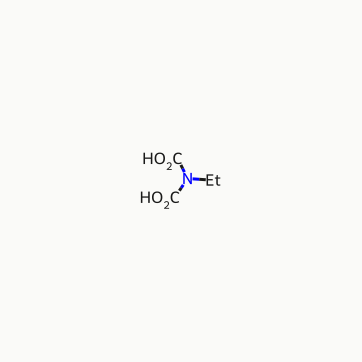 CCN(C(=O)O)C(=O)O